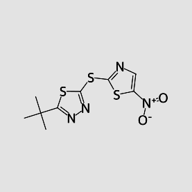 CC(C)(C)c1nnc(Sc2ncc([N+](=O)[O-])s2)s1